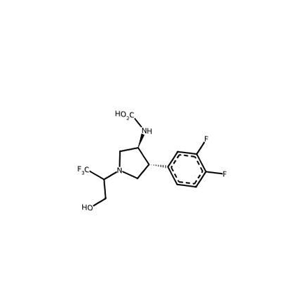 O=C(O)N[C@@H]1CN(C(CO)C(F)(F)F)C[C@H]1c1ccc(F)c(F)c1